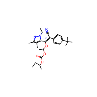 CCC(C)OC(=O)OC(C)O/C(=C(/C#N)c1ccc(C(C)(C)C)cc1)c1c(C)c(C)nn1CC